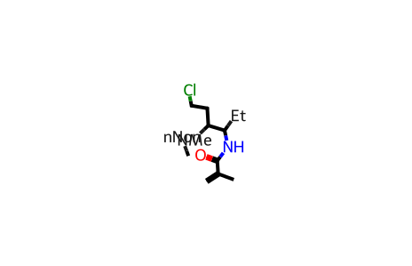 C=C(C)C(=O)NC(CC)C(CCCl)CCCCCCCCC.CNC